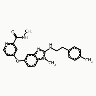 CNC(=O)c1cc(Oc2ccc3c(c2)nc(NCCc2ccc(C)cc2)n3C)ccn1